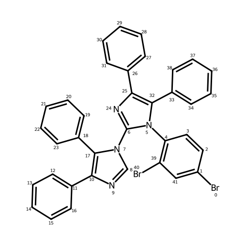 Brc1ccc(-n2c(-n3cnc(-c4ccccc4)c3-c3ccccc3)nc(-c3ccccc3)c2-c2ccccc2)c(Br)c1